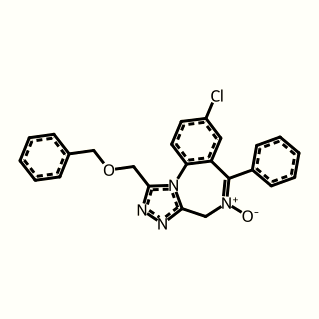 [O-][N+]1=C(c2ccccc2)c2cc(Cl)ccc2-n2c(COCc3ccccc3)nnc2C1